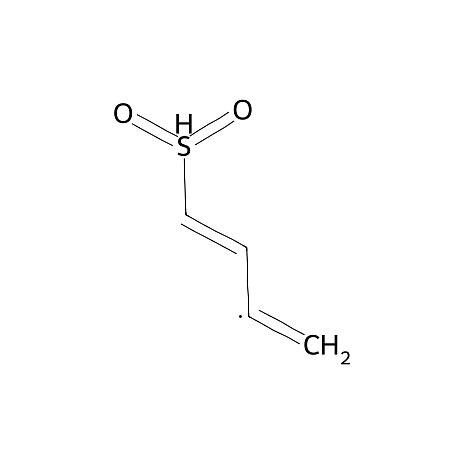 C=[C]C=C[SH](=O)=O